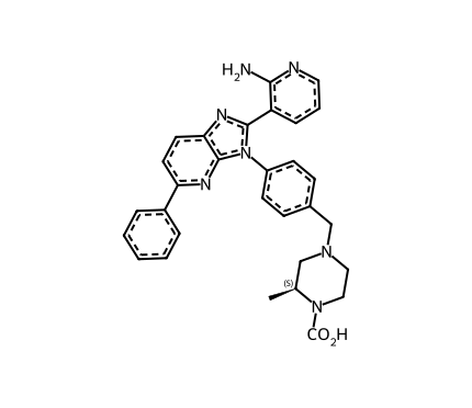 C[C@H]1CN(Cc2ccc(-n3c(-c4cccnc4N)nc4ccc(-c5ccccc5)nc43)cc2)CCN1C(=O)O